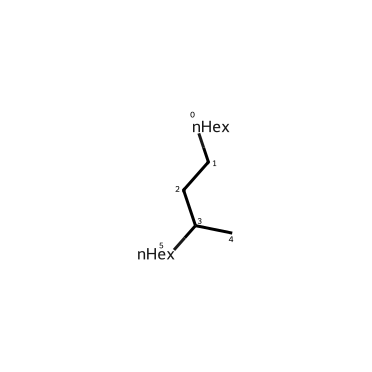 [CH2]CCCCCCCC(C)CCCCCC